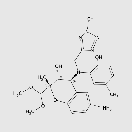 COC(OC)[C@@]1(C)Oc2ccc(N)cc2[C@H](N(Cc2nnn(C)n2)c2cc(C)ccc2O)[C@H]1O